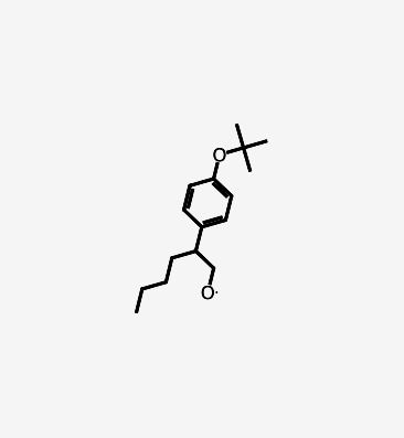 CCCCC(C[O])c1ccc(OC(C)(C)C)cc1